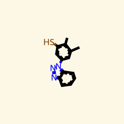 Cc1cc(-n2nnc3ccccc32)cc(S)c1C